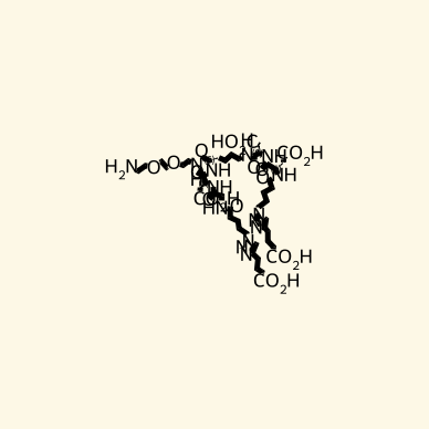 NCCOCCOCCNC(=O)[C@H](CCCCNC(=O)[C@H](CC(=O)O)NC(=O)[C@H](CC(=O)O)NC(=O)CCCCn1cc(CCCC(=O)O)nn1)NC(=O)[C@H](CC(=O)O)NC(=O)CNC(=O)CCCCn1cc(CCCC(=O)O)nn1